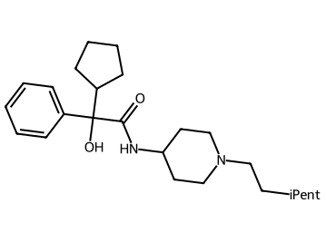 CCCC(C)CCN1CCC(NC(=O)C(O)(c2ccccc2)C2CCCC2)CC1